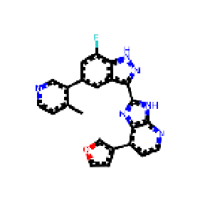 Cc1ccncc1-c1cc(F)c2[nH]nc(-c3nc4c(-c5ccoc5)ccnc4[nH]3)c2c1